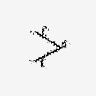 CCCCCC(CCCCC)CC(=O)COCCCCCCCCC(CCCCCCCCCOC(=O)CC(CCCCC)CCCCC)CN1CCN(C)CC1